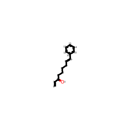 C=CC(=O)CCCCC=Cc1ccccc1